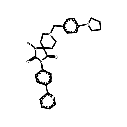 CCN1C(=O)N(c2ccc(-c3ccccn3)cc2)C(=O)C12CCN(Cc1ccc(N3CCCC3)cc1)CC2